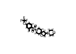 Cc1cc(OC(F)(F)F)ccc1S(=O)(=O)N1CCC2(CC1)CC(N1CCOCC1)CO2